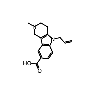 C=CCn1c2c(c3cc(C(=O)O)ccc31)CN(C)CC2